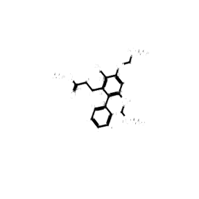 COCOc1cc(OCOC)c(-c2ccccc2)c(CCC(=O)OC)c1I